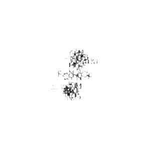 CCC(NC(=O)[C@H](C)N(C)C(=O)OC(C)(C)C)C(=O)N1C[C@@H](OC(C)=O)C[C@H]1Cc1c(-c2[nH]c3cc(F)ccc3c2C[C@@H]2C[C@H](OC(C)=O)CN2C(=O)[C@H](CC)NC(=O)[C@H](C)N(C)C(=O)OC(C)(C)C)[nH]c2cc(F)ccc12